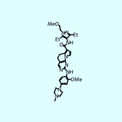 CCc1nn(CCOC)c(CC)c1NC(=O)c1ccn2c1CCc1cnc(Nc3ccc(N4CCN(C)CC4)cc3OC)nc1-2